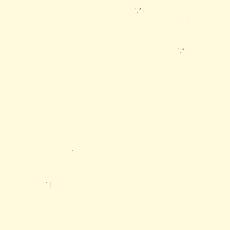 COP(=O)(CC(=O)CCCc1ccc2c(n1)NCCC2)OC